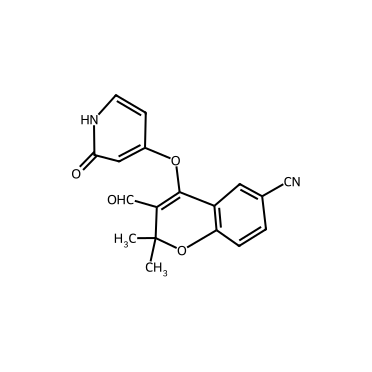 CC1(C)Oc2ccc(C#N)cc2C(Oc2cc[nH]c(=O)c2)=C1C=O